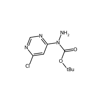 CC(C)(C)OC(=O)N(N)c1cc(Cl)ncn1